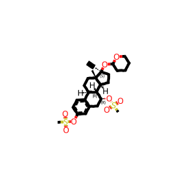 C#C[C@]1(OC2CCCCO2)CC[C@H]2[C@H]3[C@H](CC[C@@]21C)c1ccc(OS(C)(=O)=O)cc1C[C@H]3OS(C)(=O)=O